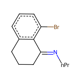 CCCN=C1CCCc2cccc(Br)c21